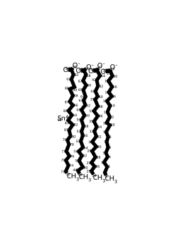 CCCCCCCCCCCCCCCCCCCCCC(=O)[O-].CCCCCCCCCCCCCCCCCCCCCC(=O)[O-].CCCCCCCCCCCCCCCCCCCCCC(=O)[O-].CCCCCCCCCCCCCCCCCCCCCC(=O)[O-].[Sn+4]